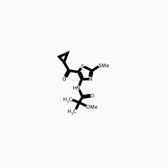 COC(C)(C)C(=O)Nc1nc(SC)sc1C(=O)C1CC1